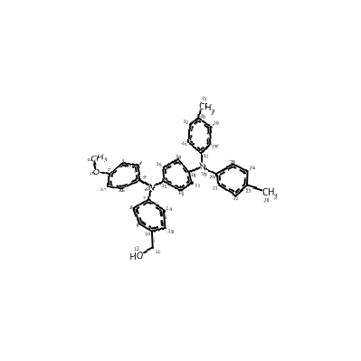 COc1ccc(N(c2ccc(CO)cc2)c2ccc(N(c3ccc(C)cc3)c3ccc(C)cc3)cc2)cc1